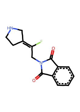 O=C1c2ccccc2C(=O)N1C/C(F)=C1\CCNC1